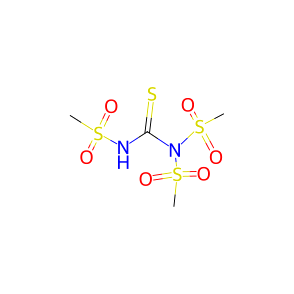 CS(=O)(=O)NC(=S)N(S(C)(=O)=O)S(C)(=O)=O